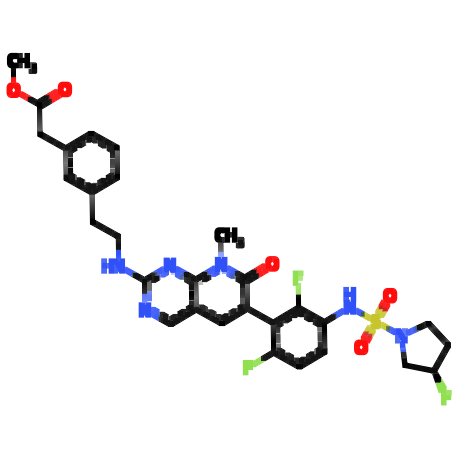 COC(=O)Cc1cccc(CCNc2ncc3cc(-c4c(F)ccc(NS(=O)(=O)N5CC[C@@H](F)C5)c4F)c(=O)n(C)c3n2)c1